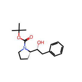 CC(C)(C)OC(=O)N1CCC[C@H]1[C@H](O)Cc1ccccc1